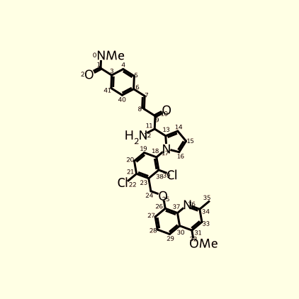 CNC(=O)c1ccc(/C=C/C(=O)C(N)c2cccn2-c2ccc(Cl)c(COc3cccc4c(OC)cc(C)nc34)c2Cl)cc1